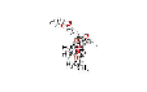 CCOC(=O)CCCCCCC(CCCC(CCCC(C)C)OC(C)=O)(C(C)=O)C(=O)OC(C)(C)C